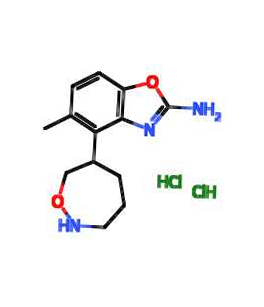 Cc1ccc2oc(N)nc2c1C1CCCNOC1.Cl.Cl